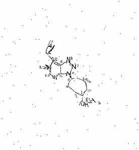 C[C@]1(O)CC[C@@H](n2nnc3c(Cl)ncnc32)CC1